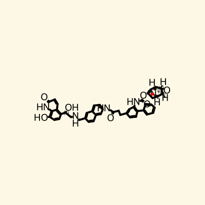 C[N+]1(C)[C@@H]2CC(OC(=O)Nc3cc(CCC(=O)Nc4ccc5cc(CNC[C@H](O)c6ccc(O)c7[nH]c(=O)ccc67)ccc5c4)ccc3-c3ccccc3)C[C@H]1[C@@H]1O[C@@H]12